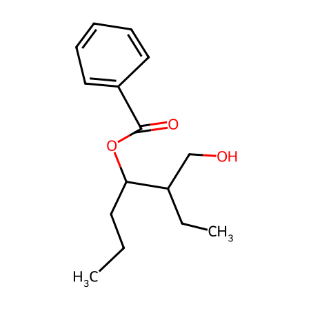 CCCC(OC(=O)c1ccccc1)C(CC)CO